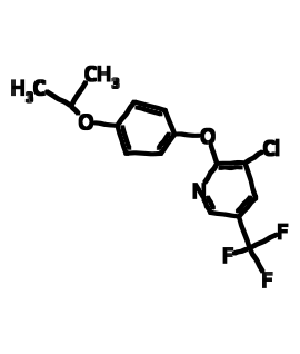 CC(C)Oc1ccc(Oc2ncc(C(F)(F)F)cc2Cl)cc1